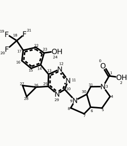 O=C(O)N1CCC2CCN(c3nnc(-c4ccc(C(F)(F)F)cc4O)c(C4CC4)n3)C2C1